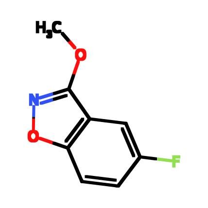 COc1noc2ccc(F)cc12